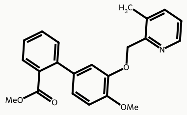 COC(=O)c1ccccc1-c1ccc(OC)c(OCc2ncccc2C)c1